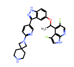 CC(Oc1ccc2[nH]nc(-c3ccc(N4CC5(CCNCC5)C4)nc3)c2c1)c1c(F)cnc2[nH]cc(F)c12